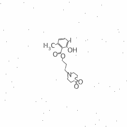 Cc1ccc(I)c(O)c1C(=O)OCCCN1CCS(=O)(=O)CC1